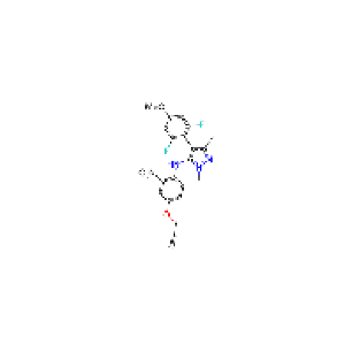 C#CCOc1ccc(Nc2c(-c3c(F)cc(OC)cc3F)c(C)nn2C)c([N+](=O)[O-])c1